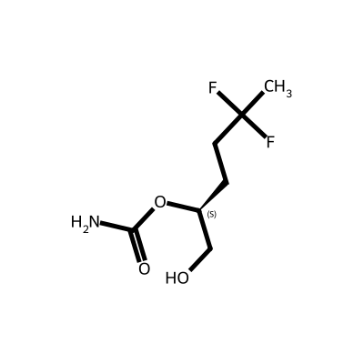 CC(F)(F)CC[C@@H](CO)OC(N)=O